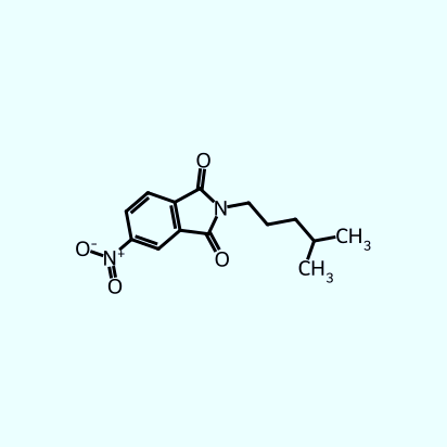 CC(C)CCCN1C(=O)c2ccc([N+](=O)[O-])cc2C1=O